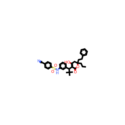 CCCC1(CCc2ccccc2)CC(O)=C(C(c2cccc(NS(=O)(=O)c3ccc(C#N)cc3)c2)C(C)(C)C)C(=O)O1